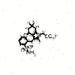 Cc1c(CC2CC=CC=C2S(N)(=O)=O)c2c(n1CC(=O)O)CC(C)(C)CC2=O